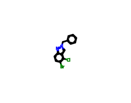 Clc1c(Br)ccc2nn(Cc3ccccc3)cc12